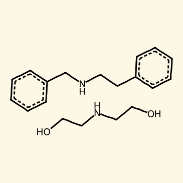 OCCNCCO.c1ccc(CCNCc2ccccc2)cc1